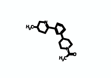 CC(=O)N1CCC(c2cccc(C3=NCC(C)CC3)c2)CC1